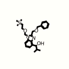 CC(C)C(O)c1cccc2c1nc(COCc1ccccc1)n2COCC[Si](C)(C)C